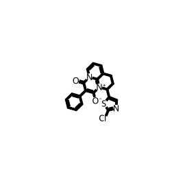 O=c1c(-c2ccccc2)c([O-])[n+]2c3c(cccn13)CCC2c1cnc(Cl)s1